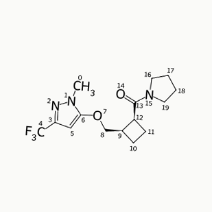 Cn1nc(C(F)(F)F)cc1OC[C@@H]1CC[C@@H]1C(=O)N1CCCC1